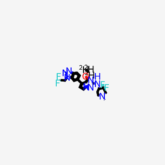 [2H]C([2H])([2H])Oc1nc(N[C@@H]2CCN(C)CC2(F)F)nn2ccc(-c3ccc4nnn(CC(F)F)c4c3)c12